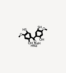 COc1cc(O)c(C(=O)c2cc(S)c(OC)cc2O)cc1S.[NaH].[NaH]